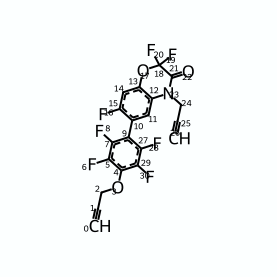 C#CCOc1c(F)c(F)c(-c2cc3c(cc2F)OC(F)(F)C(=O)N3CC#C)c(F)c1F